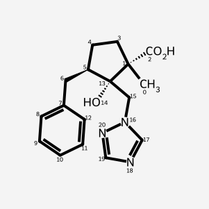 C[C@]1(C(=O)O)CC[C@H](Cc2ccccc2)[C@]1(O)Cn1cncn1